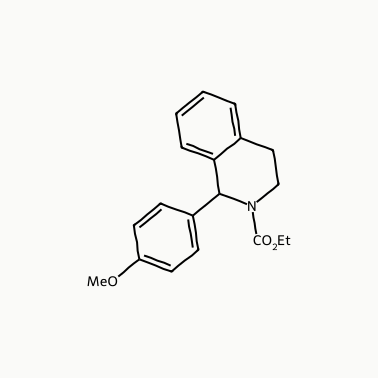 CCOC(=O)N1CCc2ccccc2C1c1ccc(OC)cc1